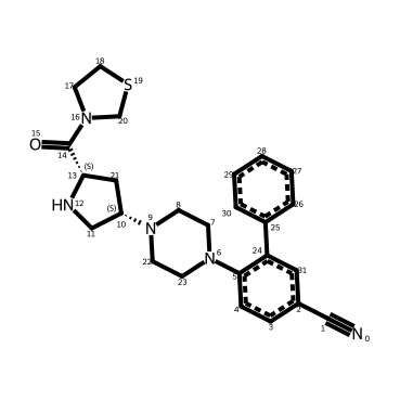 N#Cc1ccc(N2CCN([C@@H]3CN[C@H](C(=O)N4CCSC4)C3)CC2)c(-c2ccccc2)c1